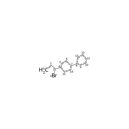 C=CC(Br)c1ccc(-c2ccccc2)cc1